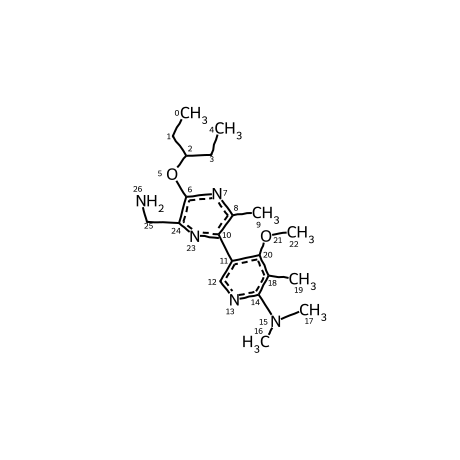 CCC(CC)Oc1nc(C)c(-c2cnc(N(C)C)c(C)c2OC)nc1CN